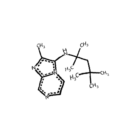 Cc1nc2cnccn2c1NC(C)(C)CC(C)(C)C